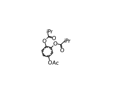 CC(=O)Oc1ccc(OC(=O)C(C)C)c(OC(=O)C(C)C)c1